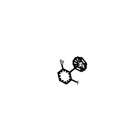 Fc1cccc(Br)c1[C]12[CH]3[CH]4[CH]5[CH]1[Fe]45321678[CH]2[CH]1[CH]6[CH]7[CH]28